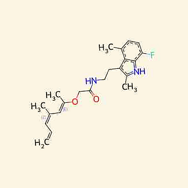 C=C/C=C(C)\C=C(/C)OCC(=O)NCCc1c(C)[nH]c2c(F)ccc(C)c12